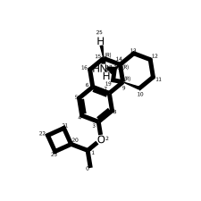 C[C](Oc1ccc2c(c1)[C@@]13CCCC[C@H]1[C@@H](C2)NCC3)C1CCC1